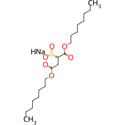 CCCCCCCCOC(=O)CC(C(=O)OCCCCCCCC)=S(=O)=O.[NaH]